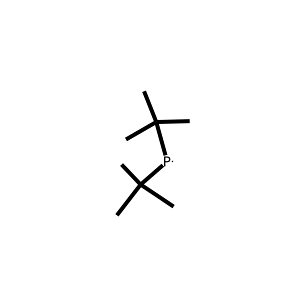 CC(C)(C)[P]C(C)(C)C